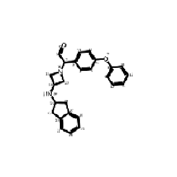 O=CC(c1ccc(Oc2ccccc2)cc1)N1CC(NC2Cc3ccccc3C2)C1